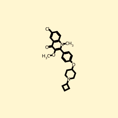 COc1c(-c2ccc(OC3CCN(C4CCC4)CC3)cc2)n(C)c2ccc(Cl)cc2c1=O